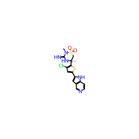 CN1C(=N)N[C@](C)(c2sc(-c3cc4cnccc4[nH]3)cc2Cl)CS1(=O)=O